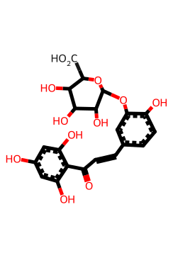 O=C(C=Cc1ccc(O)c(OC2OC(C(=O)O)C(O)C(O)C2O)c1)c1c(O)cc(O)cc1O